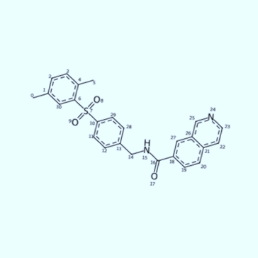 Cc1ccc(C)c(S(=O)(=O)c2ccc(CNC(=O)c3ccc4ccncc4c3)cc2)c1